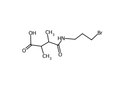 CC(C(=O)O)C(C)C(=O)NCCCBr